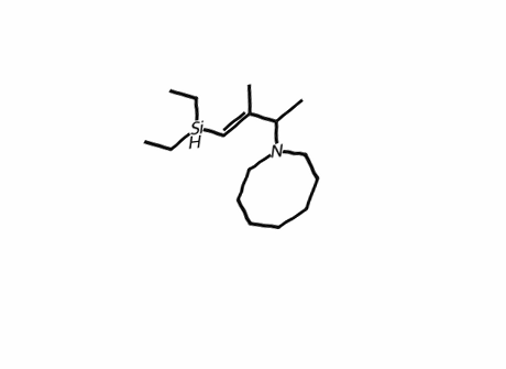 CC[SiH](C=C(C)C(C)N1CCCCCCC1)CC